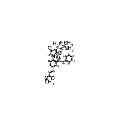 COC(=O)/C=C/c1ccc(N2CC(=O)N(CC[Si](C)(C)C)S2(=O)=O)c(OCc2ccccc2)c1